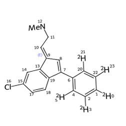 [2H]c1c([2H])c([2H])c(C2=C/C(=C\CNC)c3cc(Cl)ccc32)c([2H])c1[2H]